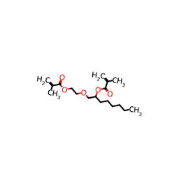 C=C(C)C(=O)OCCOCC(CCCCCC)OC(=O)C(=C)C